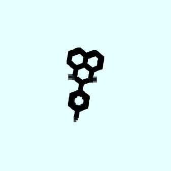 Fc1ccc(C2NC3C=CC=C4C=CCC(N2)C43)cc1